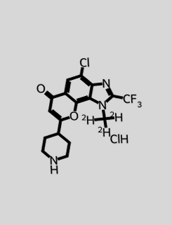 Cl.[2H]C([2H])([2H])n1c(C(F)(F)F)nc2c(Cl)cc3c(=O)cc(C4CCNCC4)oc3c21